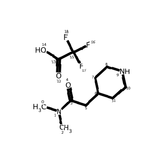 CN(C)C(=O)CC1CCNCC1.O=C(O)C(F)(F)F